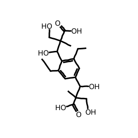 CCc1cc(C(O)C(C)(CO)C(=O)O)cc(CC)c1C(O)C(C)(CO)C(=O)O